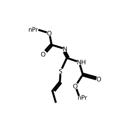 CC=CSC(=NC(=O)OCCC)NC(=O)OCCC